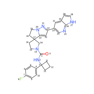 O=C(NC1(c2ccc(F)cc2)CCC1)N1CCC2(CCn3nc(-c4cnc5[nH]ccc5c4)cc32)C1